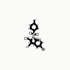 Cc1ccc(S(=O)(=O)n2c(Cl)c(I)c3cc(Br)cnc32)cc1